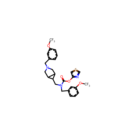 O=C(Oc1cscn1)N(Cc1cccc(OC(F)(F)F)c1)CC1C2CN(Cc3cccc(OC(F)(F)F)c3)CC21